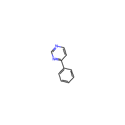 c1ccc(-c2ccncn2)cc1